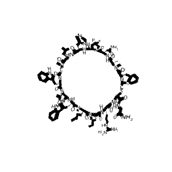 C=C(O)[C@@H]1NC(=O)[C@H](Cc2c[nH]c3ccccc23)NC(=O)CN(C)C(=O)[C@H](CC(C)C)NC(=O)[C@H](Cc2cnc[nH]2)NC(=O)[C@@H]2CC(F)(F)CN2C(=O)[C@H](CC(N)=O)NC(=O)[C@H](C)N(C)C(=O)[C@H](Cc2ccccc2)NC(=O)CSCC(C(=O)NCC(N)=O)NC(=O)[C@H](CCCNC(=N)N)NC(=O)[C@H](CCCC)N(C)C(=O)[C@H](CCCC)N(C)C(=O)[C@H](Cc2c[nH]c3ccccc23)NC1=O